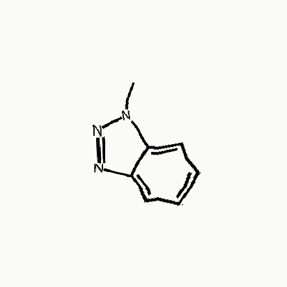 Cn1nnc2c[c]ccc21